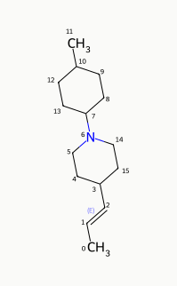 C/C=C/C1CCN(C2CCC(C)CC2)CC1